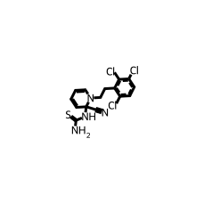 N#CC1(NC(N)=S)C=CC=CN1CCc1c(Cl)ccc(Cl)c1Cl